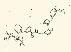 C[C@H]1CN(Cc2cccc(-c3cc(CNC(=O)c4cccc(CN5CCCCC5C(OC(=O)C(F)(F)F)[N+](C)(C)C)c4)ccc3F)c2)CCN1.[I-]